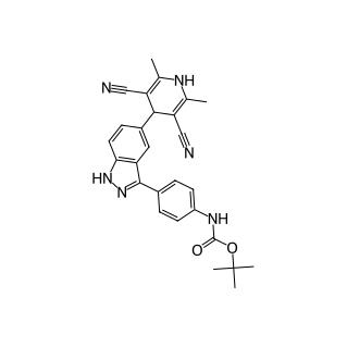 CC1=C(C#N)C(c2ccc3[nH]nc(-c4ccc(NC(=O)OC(C)(C)C)cc4)c3c2)C(C#N)=C(C)N1